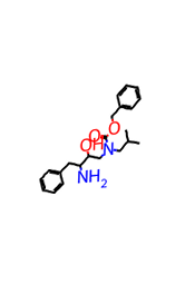 CC(C)CN(CC(O)C(N)Cc1ccccc1)C(=O)OCc1ccccc1